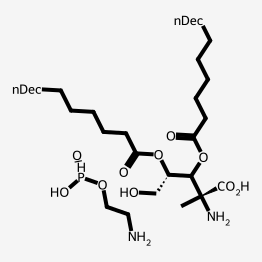 CCCCCCCCCCCCCCCC(=O)OC([C@H](CO)OC(=O)CCCCCCCCCCCCCCC)[C@@](C)(N)C(=O)O.NCCO[PH](=O)O